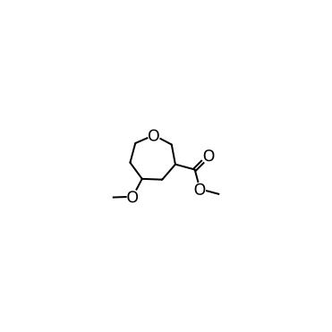 COC(=O)C1COCCC(OC)C1